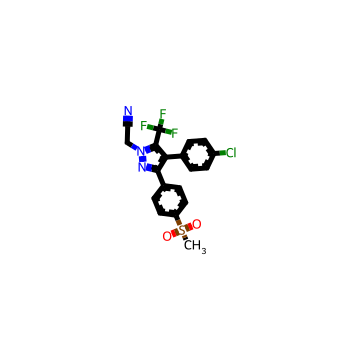 CS(=O)(=O)c1ccc(-c2nn(CC#N)c(C(F)(F)F)c2-c2ccc(Cl)cc2)cc1